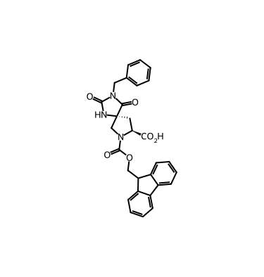 O=C(O)[C@@H]1C[C@]2(CN1C(=O)OCC1c3ccccc3-c3ccccc31)NC(=O)N(Cc1ccccc1)C2=O